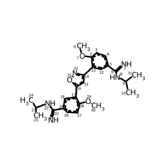 COc1ccc(C(=N)NC(C)C)cc1-c1cc(-c2cc(C(=N)NC(C)C)ccc2OC)on1